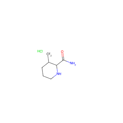 Cl.NC(=O)C1NCCCC1C(F)(F)F